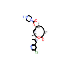 C/C(=C\c1cncc(Cl)c1)[C@H]1OC(=O)C[C@H](C)CC[C@H](C)[C@@H](OC(=O)N2CCNCC2)/C=C/[C@@H]1C